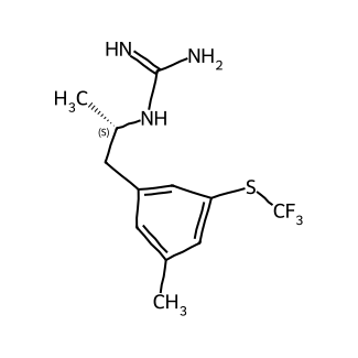 Cc1cc(C[C@H](C)NC(=N)N)cc(SC(F)(F)F)c1